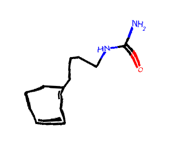 NC(=O)NCCC1=CC=CCC1